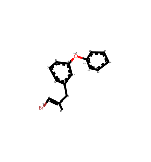 CC(=CBr)Cc1cccc(Oc2ccccc2)c1